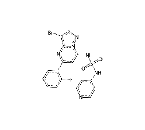 O=S(=O)(Nc1ccncc1)Nc1cc(-c2ccccc2F)nc2c(Br)cnn12